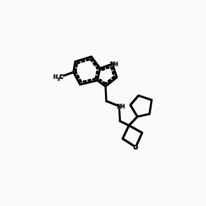 Cc1ccc2[nH]cc(CNCC3(C4CCCC4)COC3)c2c1